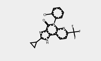 O=c1c2nc(C3CC3)[nH]c2c2ccc(C(F)(F)F)nc2n1-c1ccccc1Cl